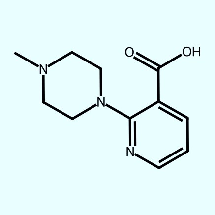 CN1CCN(c2ncccc2C(=O)O)CC1